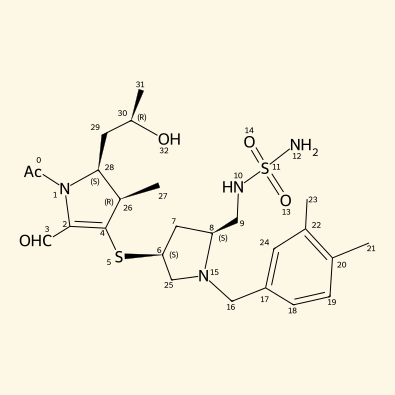 CC(=O)N1C(C=O)=C(S[C@H]2C[C@@H](CNS(N)(=O)=O)N(Cc3ccc(C)c(C)c3)C2)[C@H](C)[C@@H]1C[C@@H](C)O